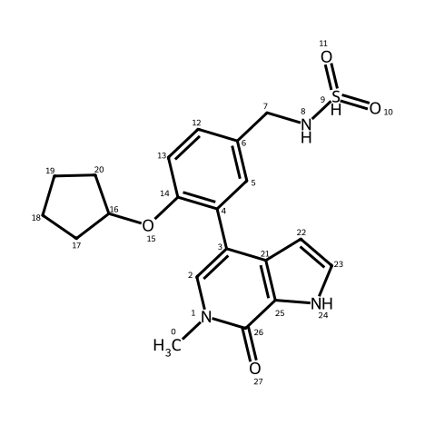 Cn1cc(-c2cc(CN[SH](=O)=O)ccc2OC2CCCC2)c2cc[nH]c2c1=O